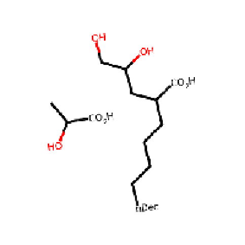 CC(O)C(=O)O.CCCCCCCCCCCCCCC(CC(O)CO)C(=O)O